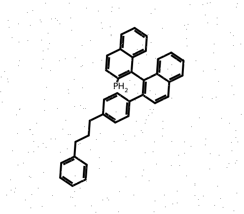 Pc1ccc2ccccc2c1-c1c(-c2ccc(CCCc3ccccc3)cc2)ccc2ccccc12